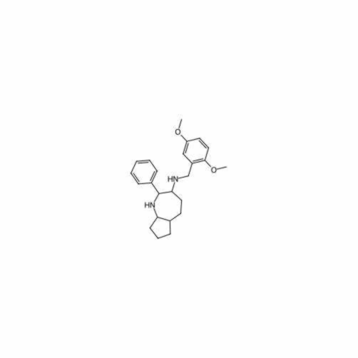 COc1ccc(OC)c(CNC2CCC3CCCC3NC2c2ccccc2)c1